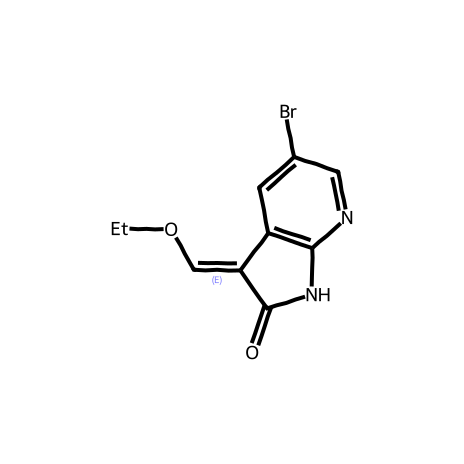 CCO/C=C1/C(=O)Nc2ncc(Br)cc21